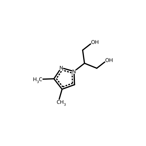 Cc1cn(C(CO)CO)nc1C